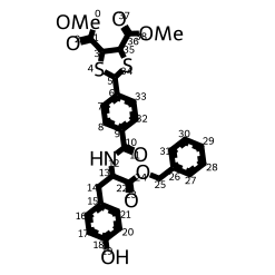 COC(=O)C1SC(c2ccc(C(=O)NC(Cc3ccc(O)cc3)C(=O)OCc3ccccc3)cc2)SC1C(=O)OC